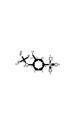 O=S(=O)(Cl)c1ccc(OC(F)(F)F)c(I)c1